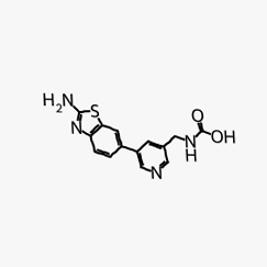 Nc1nc2ccc(-c3cncc(CNC(=O)O)c3)cc2s1